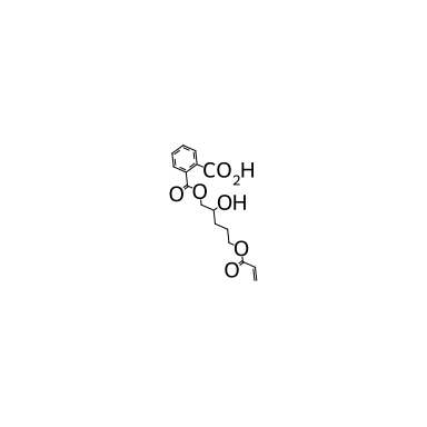 C=CC(=O)OCCCC(O)COC(=O)c1ccccc1C(=O)O